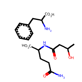 CC(O)CC(=O)NC(CCC(N)=O)C(=O)O.NC(Cc1ccccc1)C(=O)O